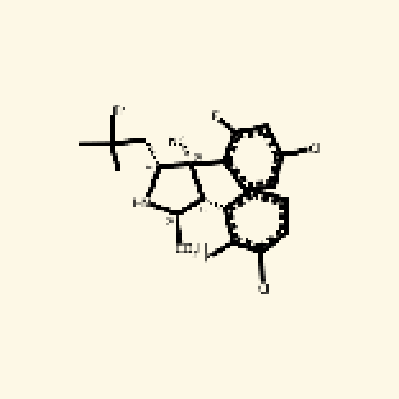 CC(C)C(C)(C)C[C@H]1N[C@H](C(=O)O)[C@@H](c2cccc(Cl)c2F)[C@]1(C#N)c1ccc(Cl)cc1F